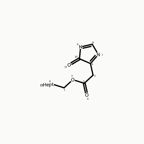 CCCCCCCCOC(=O)CC1=NC=NC1=O